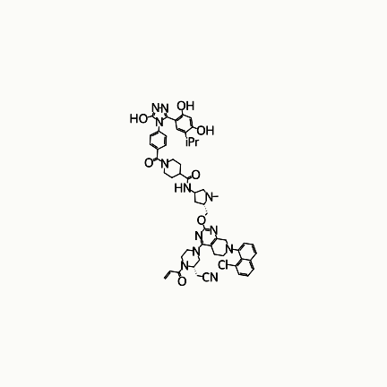 C=CC(=O)N1CCN(c2nc(OC[C@@H]3CC(NC(=O)C4CCN(C(=O)c5ccc(-n6c(O)nnc6-c6cc(C(C)C)c(O)cc6O)cc5)CC4)CN3C)nc3c2CCN(c2cccc4cccc(Cl)c24)C3)C[C@@H]1CC#N